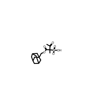 CC(=O)C(C)(C(=O)OCC12CC3CC(CC(C3)C1)C2)S(=O)(=O)O